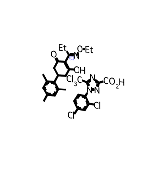 CCO/N=C(\CC)C1=C(O)CC(c2c(C)cc(C)cc2C)CC1=O.O=C(O)c1nc(C(Cl)(Cl)Cl)n(-c2ccc(Cl)cc2Cl)n1